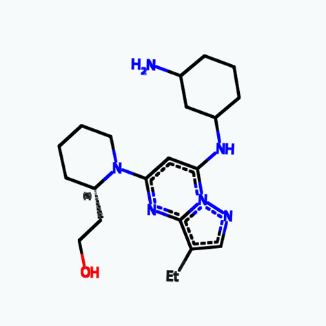 CCc1cnn2c(NC3CCCC(N)C3)cc(N3CCCC[C@H]3CCO)nc12